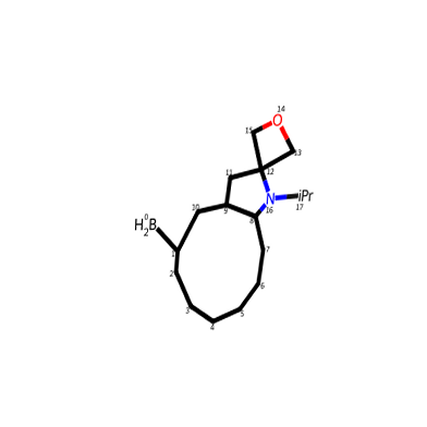 BC1CCCCCCC2C(C1)CC1(COC1)N2C(C)C